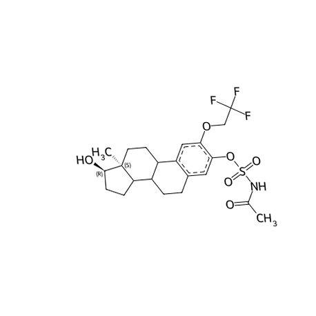 CC(=O)NS(=O)(=O)Oc1cc2c(cc1OCC(F)(F)F)C1CC[C@@]3(C)C(CC[C@H]3O)C1CC2